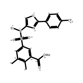 CCN(c1coc(-c2ccc(C(F)(F)F)cc2)n1)S(=O)(=O)c1cc(C)c(C)c(C(=O)OC)c1